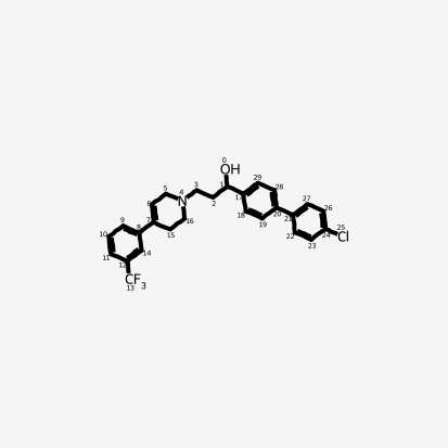 OC(CCN1CC=C(c2cccc(C(F)(F)F)c2)CC1)c1ccc(-c2ccc(Cl)cc2)cc1